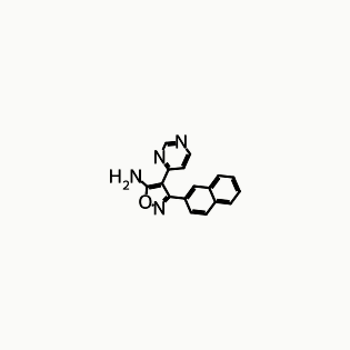 Nc1onc(-c2ccc3ccccc3c2)c1-c1ccncn1